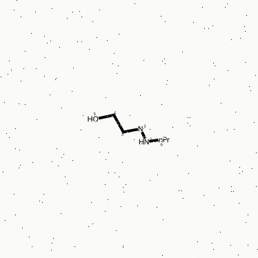 CCCN[N]CCO